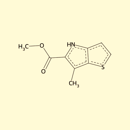 COC(=O)c1[nH]c2ccsc2c1C